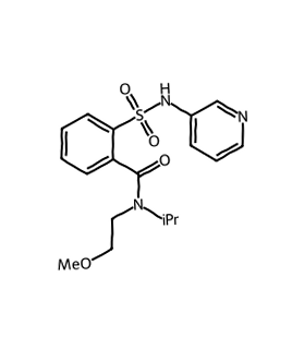 COCCN(C(=O)c1ccccc1S(=O)(=O)Nc1cccnc1)C(C)C